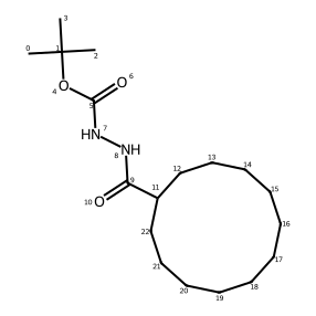 CC(C)(C)OC(=O)NNC(=O)C1CCCCCCCCCCC1